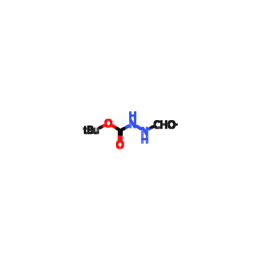 CC(C)(C)OC(=O)NN[C]=O